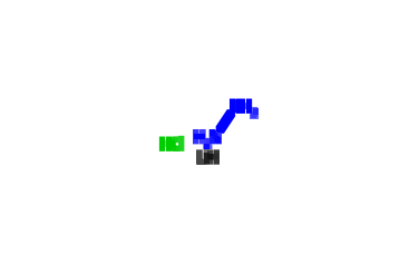 Cl.NN.[LiH]